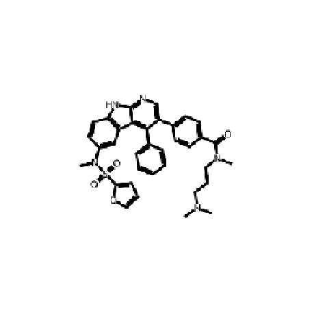 CN(C)CCCN(C)C(=O)c1ccc(-c2cnc3[nH]c4ccc(N(C)S(=O)(=O)c5ccco5)cc4c3c2-c2ccccc2)cc1